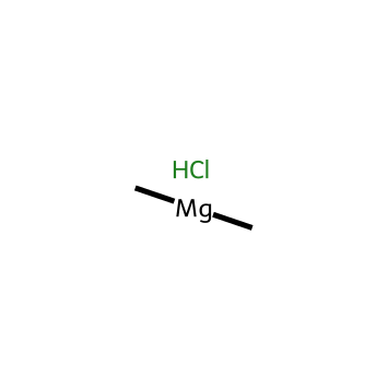 Cl.[CH3][Mg][CH3]